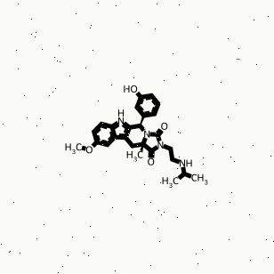 COc1ccc2[nH]c3c(c2c1)C[C@@]1(C)C(=O)N(CCNC(C)C)C(=O)N1[C@@H]3c1cccc(O)c1